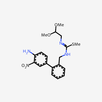 COC(CN=C(NCc1ccccc1-c1ccc(N)c([N+](=O)[O-])c1)SC)OC